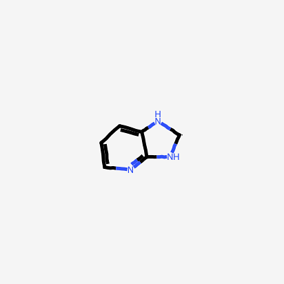 [CH]1Nc2cccnc2N1